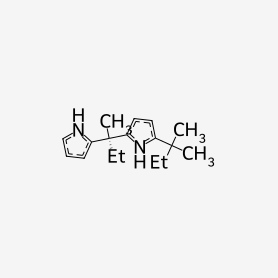 CCC(C)(C)c1ccc([C@@](C)(CC)c2ccc[nH]2)[nH]1